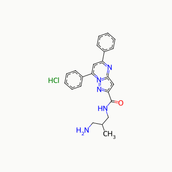 CC(CN)CNC(=O)c1cc2nc(-c3ccccc3)cc(-c3ccccc3)n2n1.Cl